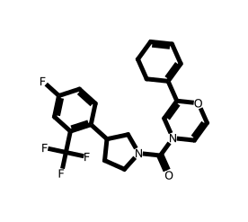 O=C(N1C=COC(C2=CC=CCC2)=C1)N1CCC(c2ccc(F)cc2C(F)(F)F)C1